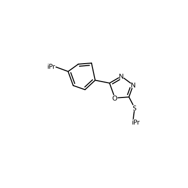 CC(C)Sc1nnc(-c2ccc(C(C)C)cc2)o1